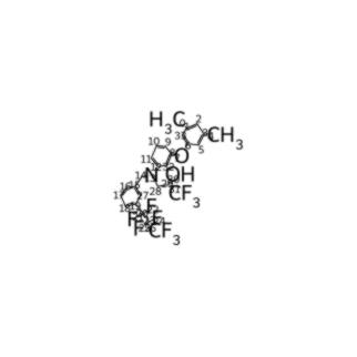 Cc1cc(C)cc(Oc2cccc(N(Cc3cccc(C(F)(F)C(F)(F)C(F)(F)F)c3)CC(O)C(F)(F)F)c2)c1